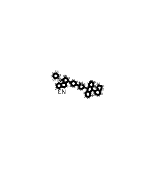 N#Cc1ccc2c3c1ccc1c(-c4ccc(-c5ccc(-c6c7ccccc7c(-c7cccc8ccccc78)c7ccccc67)cn5)cc4)ccc(c13)n2-c1ccccc1